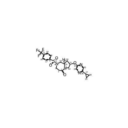 O=C1CCN(S(=O)(=O)c2ccc(C(F)(F)F)cc2)C[C@@H]2C[C@@H](Oc3cnc(C4CC4)cn3)CN12